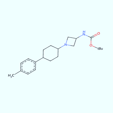 Cc1ccc(C2CCC(N3CC(NC(=O)OC(C)(C)C)C3)CC2)cc1